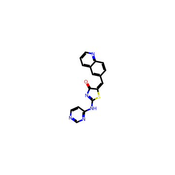 O=C1N=C(Nc2ccncn2)SC1=Cc1ccc2ncccc2c1